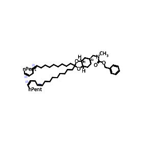 CCCCC/C=C\C/C=C\CCCCCCCCC1(CCCCCCCC/C=C\C/C=C\CCCCC)O[C@H]2CC[C@H](CN(C)C(=O)OCc3ccccc3)C[C@H]2O1